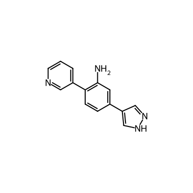 Nc1cc(-c2cn[nH]c2)ccc1-c1cccnc1